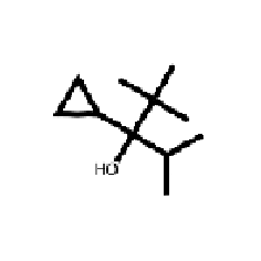 CC(C)C(O)(C1CC1)C(C)(C)C